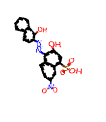 O=[N+]([O-])c1ccc2c(/N=N/c3ccc4ccccc4c3O)c(O)cc(S(=O)(=O)O)c2c1